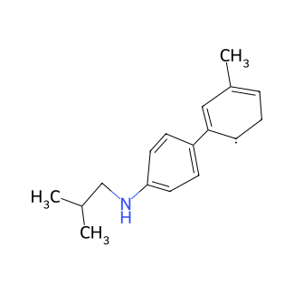 CC1=CC[CH]C(c2ccc(NCC(C)C)cc2)=C1